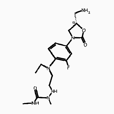 CCN(CCNN(C)C(=O)NC)c1ccc(N2C[C@H](CN)OC2=O)cc1F